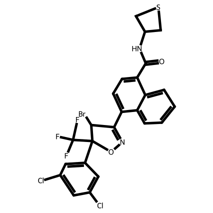 O=C(NC1CSC1)c1ccc(C2=NOC(c3cc(Cl)cc(Cl)c3)(C(F)(F)F)C2Br)c2ccccc12